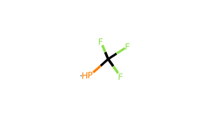 FC(F)(F)[PH]